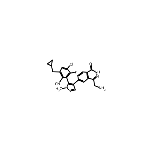 [C-]#[N+]c1c(CC2CC2)cc(Cl)c(F)c1-c1c(-c2ccc3c(=O)[nH]nc(CN)c3c2)cnn1C